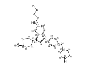 CCCCNc1ncc2c(-c3ccc(CN4CCNCC4)cc3)cn([C@H]3CC[C@H](O)CC3)c2n1